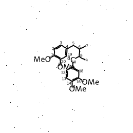 COc1ccc(CC(C)C(C)[8CH2]c2ccc(OC)c(OC)c2)cc1OC